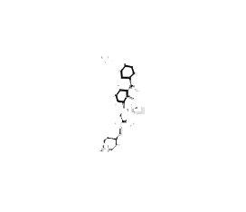 COc1ccc(C(=O)c2cccc(NCC(=O)NCC3CCN(C(C)C)CC3)c2C)cc1.Cl